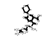 CN(NC(=O)OC(C)(C)C)C(=O)c1cc(=O)n(C2CCOCC2)cc1C(=O)O